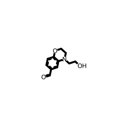 O=Cc1ccc2c(c1)N(CCO)CCO2